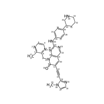 Cc1nccnc1Cn1c(=O)c(C#Cc2nccn2C)cc2cnc(Nc3ccc(C4CCCNC4)cc3)nc21